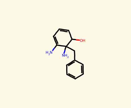 NC1=CC=CC(O)C1(N)Cc1ccccc1